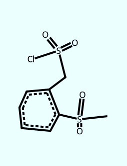 CS(=O)(=O)c1ccccc1CS(=O)(=O)Cl